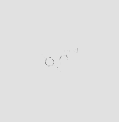 CC(C)C1CC(=CC(=O)NC2CC2)c2cc(F)ccc21